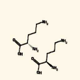 NCCC[C@@H](N)C(=O)O.NCCC[C@H](N)C(=O)O